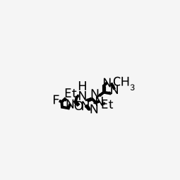 CCC(Nc1ncnc2c1nc(-c1cnc(C)nc1)n2CC)C(=O)N1CCC(F)C1